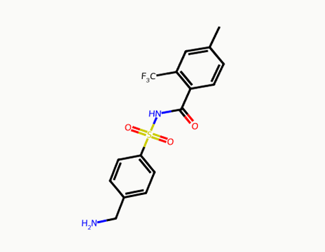 Cc1ccc(C(=O)NS(=O)(=O)c2ccc(CN)cc2)c(C(F)(F)F)c1